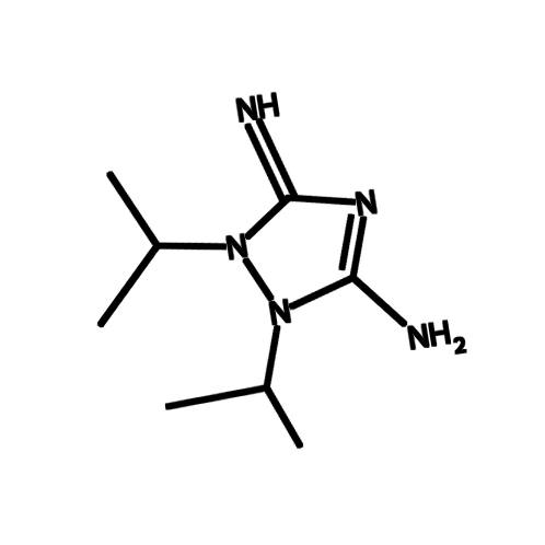 CC(C)n1c(N)nc(=N)n1C(C)C